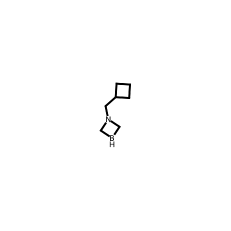 B1CN(CC2CCC2)C1